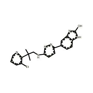 CCc1cccnc1C(C)(C)CNc1ccc(-c2ccc3[nH]c(O)nc3c2)nn1